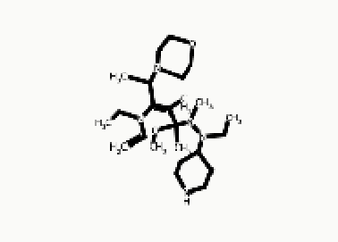 C=CN(CC)/C(=C(/C)C(C)(OC)N(C)N(CC)C1CCNCC1)C(C)N1CCOCC1